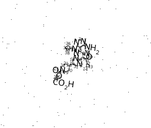 Nc1ncnc2c1c(-c1noc(C3CC3)c1-c1ncc(C3CCN(C(=O)OCC(=O)O)CC3)cn1)nn2C12CC(C1)C2